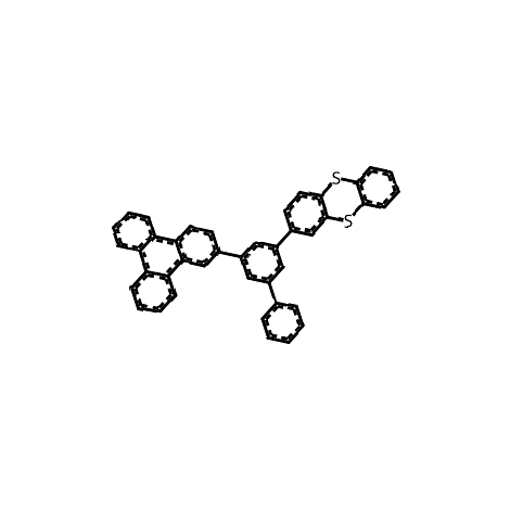 c1ccc(-c2cc(-c3ccc4c(c3)Sc3ccccc3S4)cc(-c3ccc4c5ccccc5c5ccccc5c4c3)c2)cc1